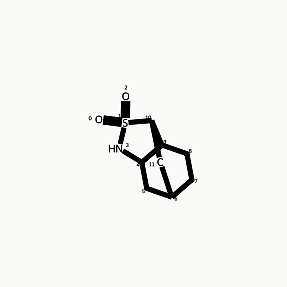 O=S1(=O)NC2CC3CCC2C1C3